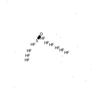 F.F.F.F.F.F.F.F.F.F.O=S